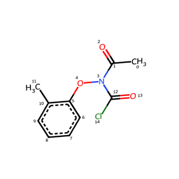 CC(=O)N(Oc1ccccc1C)C(=O)Cl